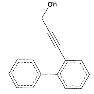 OCC#Cc1ccccc1-c1ccccc1